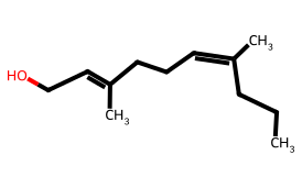 CCCC(C)=CCC/C(C)=C/CO